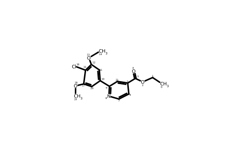 CCOC(=O)c1ccnc(-c2cc(OC)c(Cl)c(OC)c2)c1